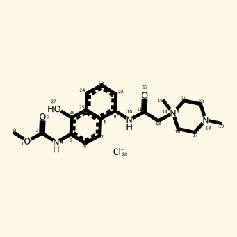 COC(=O)Nc1ccc2c(NC(=O)C[N+]3(C)CCN(C)CC3)cccc2c1O.[Cl-]